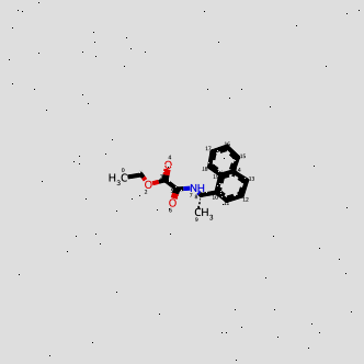 CCOC(=O)C(=O)N[C@@H](C)c1cccc2ccccc12